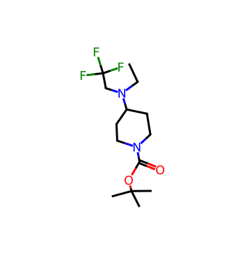 CCN(CC(F)(F)F)C1CCN(C(=O)OC(C)(C)C)CC1